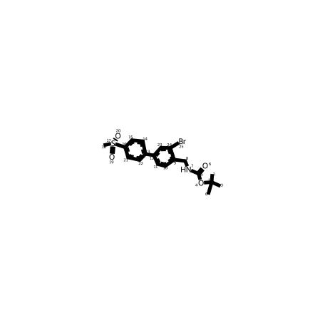 CC(C)(C)OC(=O)NCc1ccc(-c2ccc(S(C)(=O)=O)cc2)cc1Br